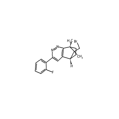 CC1(CBr)[C@@H]2CC[C@@]1(C)c1nnc(-c3ccccc3F)cc12